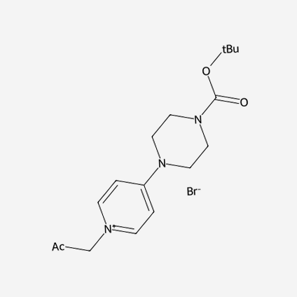 CC(=O)C[n+]1ccc(N2CCN(C(=O)OC(C)(C)C)CC2)cc1.[Br-]